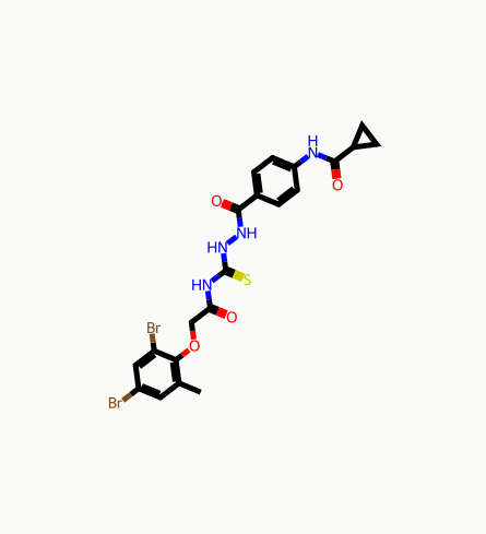 Cc1cc(Br)cc(Br)c1OCC(=O)NC(=S)NNC(=O)c1ccc(NC(=O)C2CC2)cc1